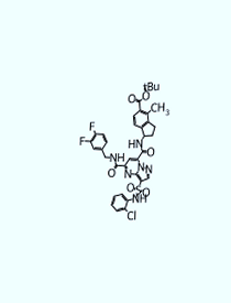 Cc1c(C(=O)OC(C)(C)C)ccc2c1CCC2NC(=O)c1cc(C(=O)NCc2ccc(F)c(F)c2)nc2c(S(=O)(=O)Nc3ccccc3Cl)cnn12